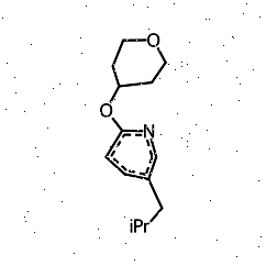 CC(C)Cc1ccc(OC2CCOCC2)nc1